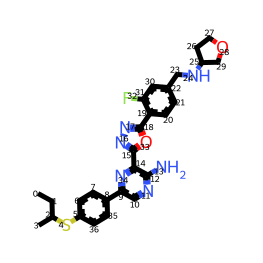 CCC(C)Sc1ccc(-c2cnc(N)c(-c3nnc(-c4ccc(CNC5CCOC5)cc4F)o3)n2)cc1